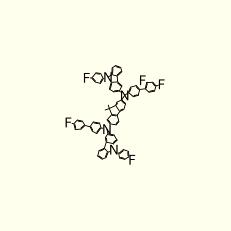 CC1(C)c2cc(N(c3ccc(-c4ccc(F)cc4)cc3)c3ccc4c(c3)c3ccccc3n4-c3ccc(F)cc3)ccc2-c2ccc(N(c3ccc(-c4ccc(F)cc4F)cc3)c3ccc4c(c3)c3ccccc3n4-c3ccc(F)cc3)cc21